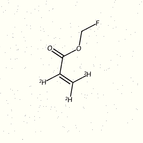 [2H]C([2H])=C([2H])C(=O)OCF